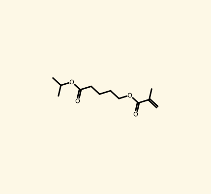 C=C(C)C(=O)OCCCCC(=O)OC(C)C